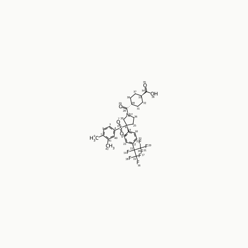 Cc1ccc(S(=O)(=O)[C@@]2(c3ccc(C(F)(C(F)(F)F)C(F)(F)F)cc3)CCN(C(=O)[C@H]3CC[C@H](C(=O)O)CC3)C2)cc1C